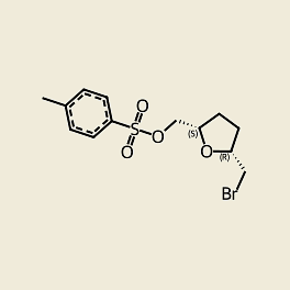 Cc1ccc(S(=O)(=O)OC[C@@H]2CC[C@H](CBr)O2)cc1